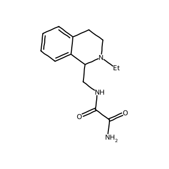 CCN1CCc2ccccc2C1CNC(=O)C(N)=O